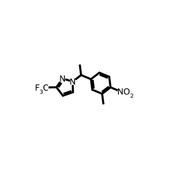 Cc1cc(C(C)n2ccc(C(F)(F)F)n2)ccc1[N+](=O)[O-]